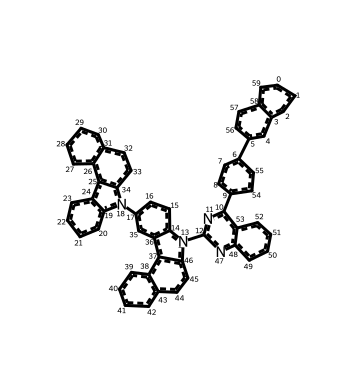 c1ccc2cc(-c3ccc(-c4nc(-n5c6ccc(-n7c8ccccc8c8c9ccccc9ccc87)cc6c6c7ccccc7ccc65)nc5ccccc45)cc3)ccc2c1